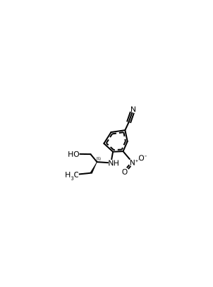 CC[C@@H](CO)Nc1ccc(C#N)cc1[N+](=O)[O-]